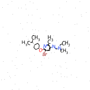 CCN(C)C=Nc1cc(Br)c(O[C@H]2CC[C@@H](C(C)C)CC2)nc1C